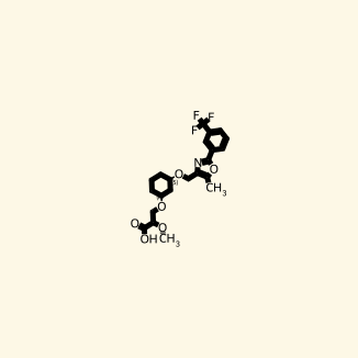 COC(CO[C@@H]1CCC[C@H](OCc2nc(-c3cccc(C(F)(F)F)c3)oc2C)C1)C(=O)O